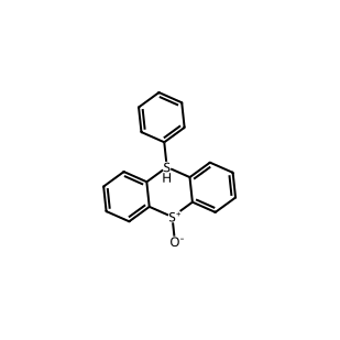 [O-][S+]1c2ccccc2[SH](c2ccccc2)c2ccccc21